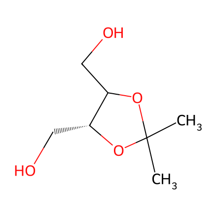 CC1(C)OC(CO)[C@@H](CO)O1